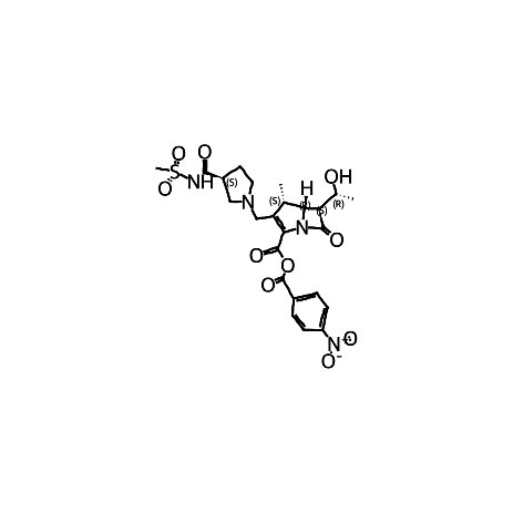 C[C@@H](O)[C@H]1C(=O)N2C(C(=O)OC(=O)c3ccc([N+](=O)[O-])cc3)=C(CN3CC[C@H](C(=O)NS(C)(=O)=O)C3)[C@H](C)[C@H]12